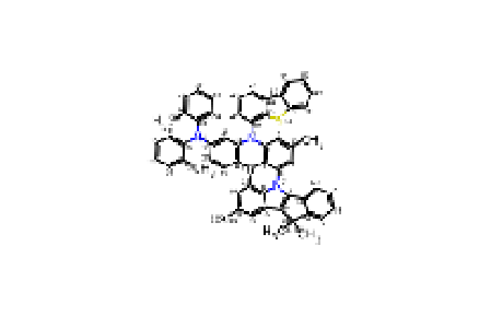 Cc1cc2c3c(c1)-n1c4c(c5cc(C(C)(C)C)cc(c51)B3c1ccc(N(c3ccccc3C)c3ccccc3C)cc1N2c1cccc2c1sc1ccccc12)C(C)(C)c1ccccc1-4